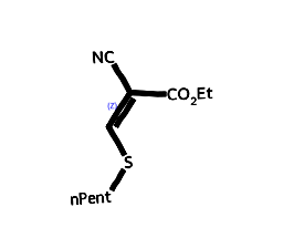 CCCCCS/C=C(/C#N)C(=O)OCC